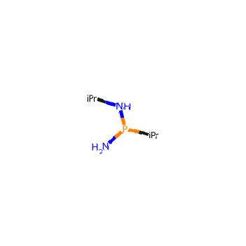 CC(C)NP(N)C(C)C